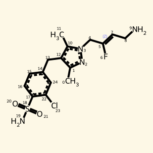 Cc1nn(C/C(F)=C/CN)c(C)c1Cc1ccc(S(N)(=O)=O)c(Cl)c1